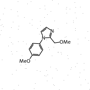 COCc1nccn1-c1ccc(OC)cc1